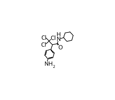 Nc1ccc(C(C(=O)NC2CCCCC2)C(Cl)(Cl)Cl)cc1